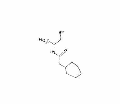 CC(C)CC(NC(=O)CC1CCCCC1)C(=O)O